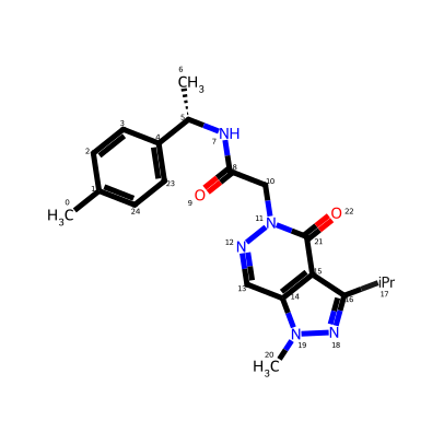 Cc1ccc([C@H](C)NC(=O)Cn2ncc3c(c(C(C)C)nn3C)c2=O)cc1